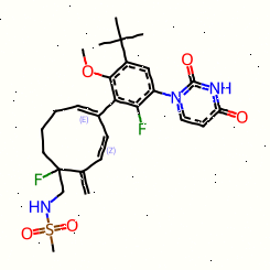 C=C1/C=C\C(c2c(F)c(-n3ccc(=O)[nH]c3=O)cc(C(C)(C)C)c2OC)=C/CCCC1(F)CNS(C)(=O)=O